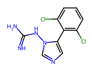 N=C(N)Nn1cncc1-c1c(Cl)cccc1Cl